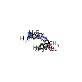 Cc1ccc(-c2nc3cc(C)c([C@H](OC(C)(C)C)C(=O)O)c(-c4ccc(Cl)cc4)c3s2)nc1-c1ccc2c(cnn2C)c1